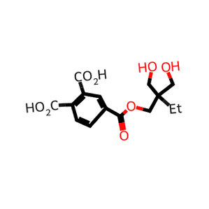 CCC(CO)(CO)COC(=O)c1ccc(C(=O)O)c(C(=O)O)c1